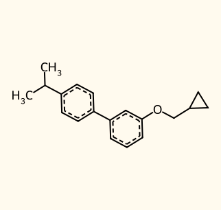 CC(C)c1ccc(-c2cccc(OCC3CC3)c2)cc1